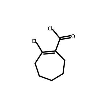 O=C(Cl)C1=C(Cl)CCCCC1